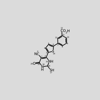 N#CC1=C(c2ccc(-c3cccc(C(=O)O)c3)s2)NC(S)NC1=O